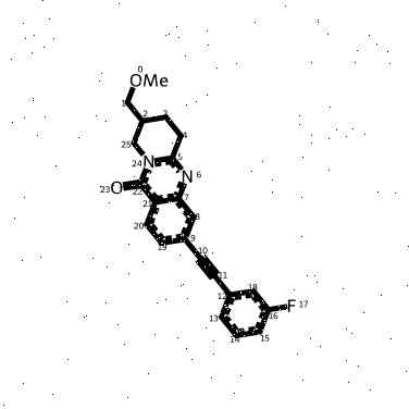 COCC1CCc2nc3cc(C#Cc4cccc(F)c4)ccc3c(=O)n2C1